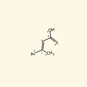 CC(=O)C(C)=CC(O)=S